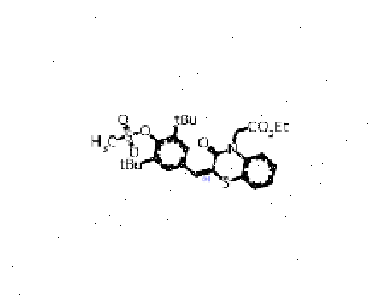 CCOC(=O)CN1C(=O)/C(=C\c2cc(C(C)(C)C)c(OS(C)(=O)=O)c(C(C)(C)C)c2)Sc2ccccc21